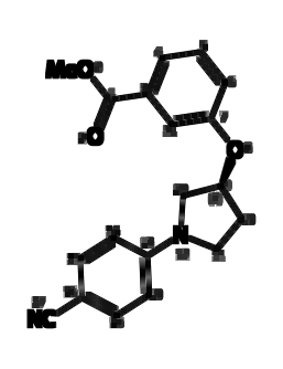 COC(=O)c1cccc(O[C@H]2CCN(c3ccc(C#N)cc3)C2)c1